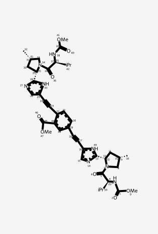 COC(=O)N[C@H](C(=O)N1C[C@@H](C)C[C@H]1c1ncc(C#Cc2ccc(C#Cc3cnc([C@@H]4C[C@H](C)CN4C(=O)[C@@H](NC(=O)OC)C(C)C)[nH]3)c(C(=O)OC)c2)[nH]1)C(C)C